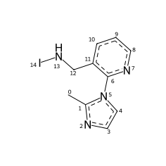 Cc1nccn1-c1ncccc1CNI